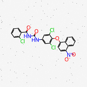 O=C(NC(=O)c1ccccc1Cl)Nc1cc(Cl)c(Oc2ccc([N+](=O)[O-])c3ccccc23)c(Cl)c1